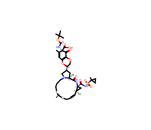 CC1=CC2=C(OC[C@@H](C3C[C@H]4C(=O)N[C@]5(C(=O)NS(=O)(=O)C6(C)CC6)C[C@H]5/C=C\CC[C@@H](C)CCCCN4C3)O2)C(=O)[C@]1(NC(=O)OC(C)(C)C)C(=O)O